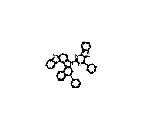 c1ccc(-c2cc3c(c4ccccc24)c2c4c(ccc2n3-c2nc(-c3ccccc3)c3sc5ccccc5c3n2)sc2ccccc24)cc1